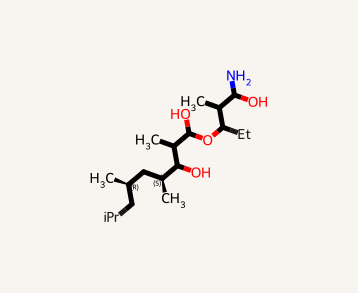 CCC(OC(O)C(C)C(O)[C@@H](C)C[C@H](C)CC(C)C)C(C)C(N)O